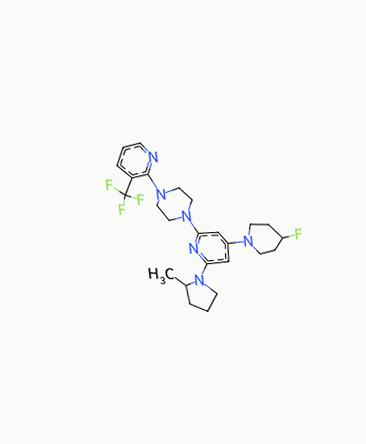 CC1CCCN1c1cc(N2CCC(F)CC2)cc(N2CCN(c3ncccc3C(F)(F)F)CC2)n1